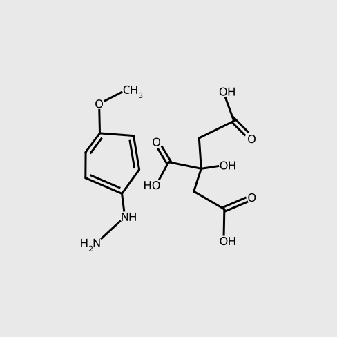 COc1ccc(NN)cc1.O=C(O)CC(O)(CC(=O)O)C(=O)O